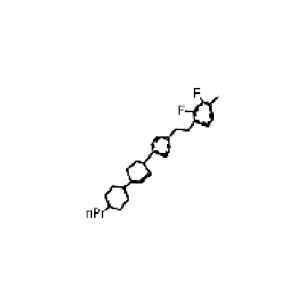 CCCC1CCC(C2C=CC(c3ccc(CCc4ccc(C)c(F)c4F)cc3)CC2)CC1